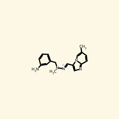 Cc1ccc2ncc(/C=N/N(C)Cc3cccc(N)c3)n2c1